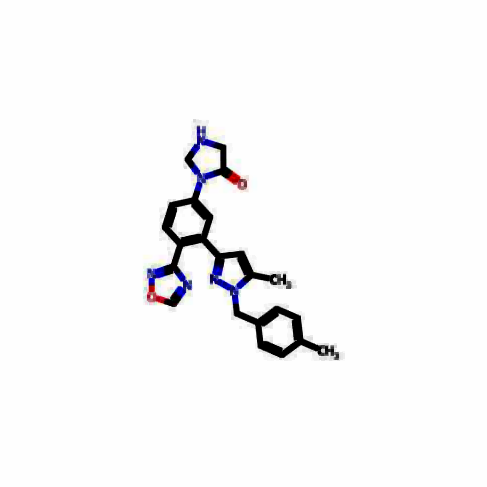 Cc1ccc(Cn2nc(-c3cc(N4CNCC4=O)ccc3-c3ncon3)cc2C)cc1